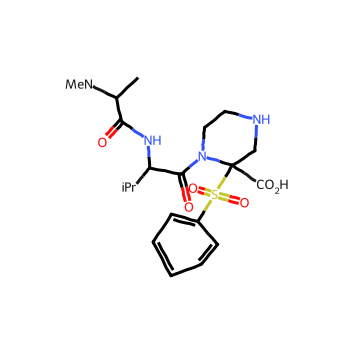 CNC(C)C(=O)NC(C(=O)N1CCNCC1(C(=O)O)S(=O)(=O)c1ccccc1)C(C)C